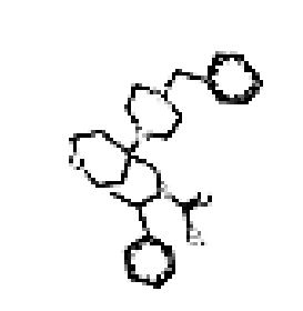 CCC(=O)N(CC1(N2CCN(Cc3ccccc3)CC2)CCOCC1)C(C)c1ccccc1